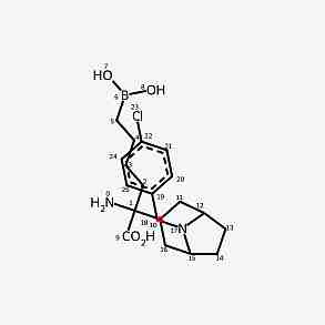 NC(CCCCB(O)O)(C(=O)O)C1CC2CCC(C1)N2Cc1ccc(Cl)cc1